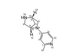 Cc1cc(N2C[C@@H]3C[C@H]2CN3)ccn1